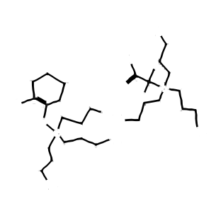 CCC[CH2][Sn]([CH2]CCC)([CH2]CCC)[C](C)(C)C(=O)O.CCC[CH2][Sn]([CH2]CCC)([CH2]CCC)[O]C1=C(C)CCCC1